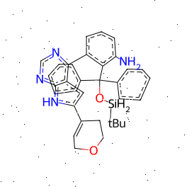 CC(C)(C)[SiH2]OC(c1ccccc1)(c1ccccc1)c1c(N)cccc1-c1ncnc2[nH]c(C3=CCOCC3)cc12